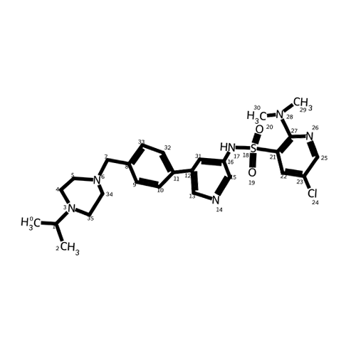 CC(C)N1CCN(Cc2ccc(-c3cncc(NS(=O)(=O)c4cc(Cl)cnc4N(C)C)c3)cc2)CC1